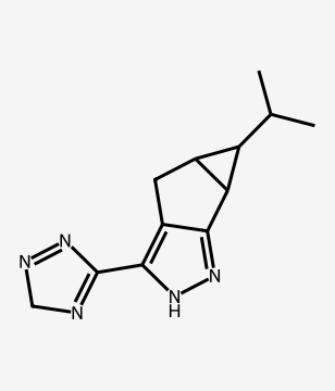 CC(C)C1C2Cc3c(n[nH]c3C3=NCN=N3)C21